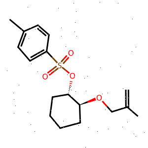 C=C(C)CO[C@H]1CCCC[C@@H]1OS(=O)(=O)c1ccc(C)cc1